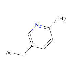 [CH2]c1ccc(CC(C)=O)cn1